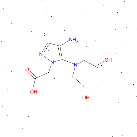 Nc1cnn(CC(=O)O)c1N(CCO)CCO